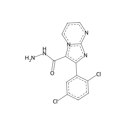 NNC(=O)c1c(-c2cc(Cl)ccc2Cl)nc2ncccn12